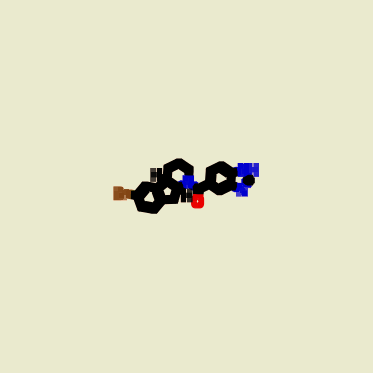 O=C(c1ccc2[nH]cnc2c1)N1CCC[C@H]2c3cc(Br)ccc3C[C@H]21